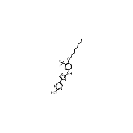 CCCCCCCCOc1ccc(Nc2nc(-c3cnc(O)nc3)cs2)cc1C(F)(F)F